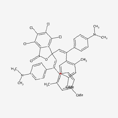 COc1ccc(C(=CC2(C=C(c3ccc(N(C)C)cc3)c3ccc(OC)cc3C)OC(=O)c3c(Cl)c(Cl)c(Cl)c(Cl)c32)c2ccc(N(C)C)cc2)c(C)c1